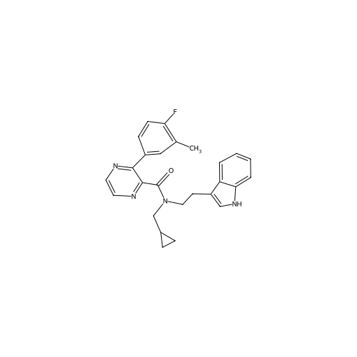 Cc1cc(-c2nccnc2C(=O)N(CCc2c[nH]c3ccccc23)CC2CC2)ccc1F